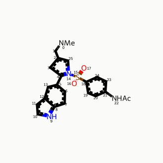 CNCc1cc(-c2ccc3[nH]ccc3c2)n(S(=O)(=O)c2ccc(NC(C)=O)cc2)c1